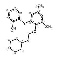 Cc1cc(C)c(OCCC2CCOCC2)c(Cc2ccccc2C#N)c1